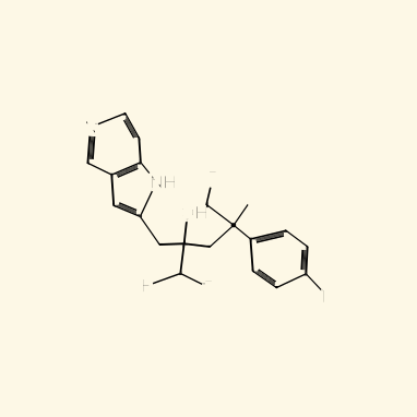 CC(CF)(CC(O)(Cc1cc2cnccc2[nH]1)C(F)F)c1ccc(F)cc1